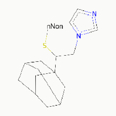 CCCCCCCCCSC(Cn1ccnc1)C12CC3CC(CC(C3)C1)C2